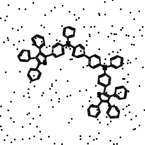 c1ccc(-c2sc(-c3ccc(N(c4ccccc4)c4ccc(-c5ccc(N(c6ccccc6)c6ccc(-c7sc(-c8ccccc8)c(-c8ccccc8)c7-c7ccccc7)cc6)cc5)cc4)cc3)c(-c3ccccc3)c2-c2ccccc2)cc1